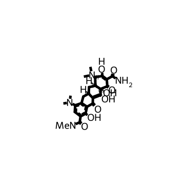 CNC(=O)c1cc(N(C)C)c2c(c1O)C(=O)C1=C(O)[C@]3(O)C(=O)C(C(N)=O)=C(O)[C@@H](N(C)C)[C@@H]3C[C@@H]1C2